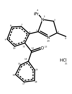 CC1CN(C(C)C)C(c2ccccc2C(=O)c2ccccc2)=N1.Cl